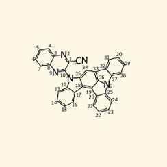 N#Cc1nc2ccccc2nc1-n1c2ccccc2c2c3c4ccccc4n4c5ccccc5c(cc21)c34